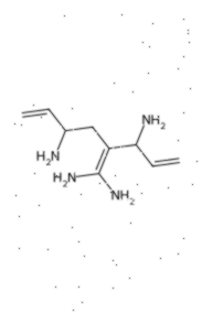 C=CC(N)CC(=C(N)N)C(N)C=C